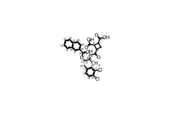 C[C@H](NC(=O)C1CC(C(=O)O)C1C(=O)O)[C@H](Cc1ccc(Cl)c(Cl)c1)OC(=O)c1ccc2ccccc2c1